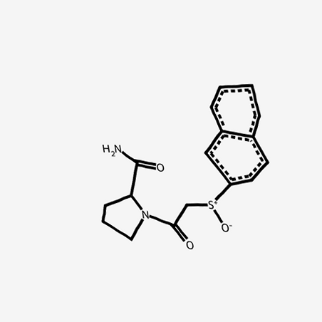 NC(=O)C1CCCN1C(=O)C[S+]([O-])c1ccc2ccccc2c1